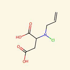 C=CCN(Cl)C(CC(=O)O)C(=O)O